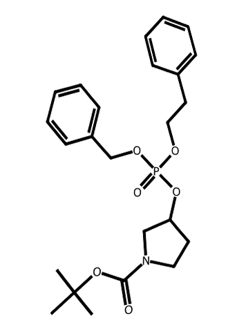 CC(C)(C)OC(=O)N1CCC(OP(=O)(OCCc2ccccc2)OCc2ccccc2)C1